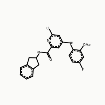 COc1cc(F)ccc1Nc1cc(Cl)nc(C(=O)NC2Cc3ccccc3C2)c1